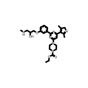 CCOC(=O)N1CCN(c2cc(C3=C(C)CN=C3C)nc(-c3cccc(OCC(O)CNC)c3)n2)CC1